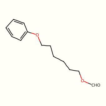 O=COCCCCCCOc1ccccc1